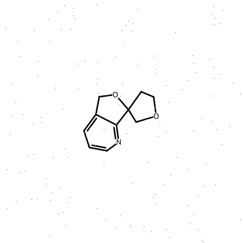 c1cnc2c(c1)COC21CCOC1